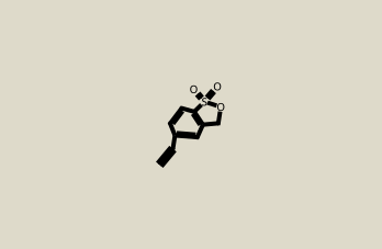 C#Cc1ccc2c(c1)COS2(=O)=O